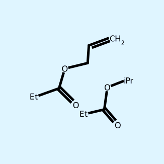 C=CCOC(=O)CC.CCC(=O)OC(C)C